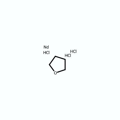 C1CCOC1.Cl.Cl.Cl.[Nd]